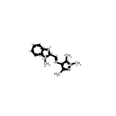 Cc1nn(C)c(C)c1/N=C/c1nc2ccccc2n1C